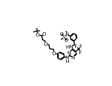 CN(c1cccc(CNc2nc(Nc3ccc(OCCCOCCC(=O)OC(C)(C)C)cc3)ncc2C(F)(F)F)c1)S(C)(=O)=O